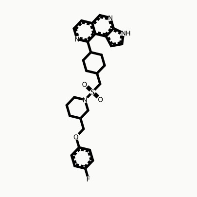 O=S(=O)(CC1CCC(c2nccc3cnc4[nH]ccc4c23)CC1)N1CCCC(COc2ccc(F)cc2)C1